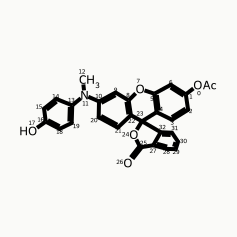 CC(=O)Oc1ccc2c(c1)Oc1cc(N(C)c3ccc(O)cc3)ccc1C21OC(=O)c2ccccc21